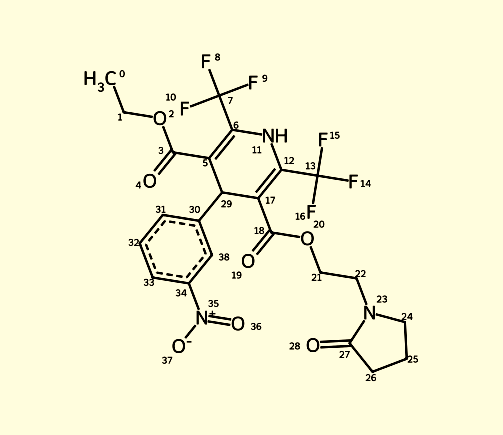 CCOC(=O)C1=C(C(F)(F)F)NC(C(F)(F)F)=C(C(=O)OCCN2CCCC2=O)C1c1cccc([N+](=O)[O-])c1